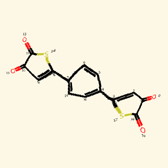 O=C1C=C(c2ccc(C3=CC(=O)C(=O)S3)cc2)SC1=O